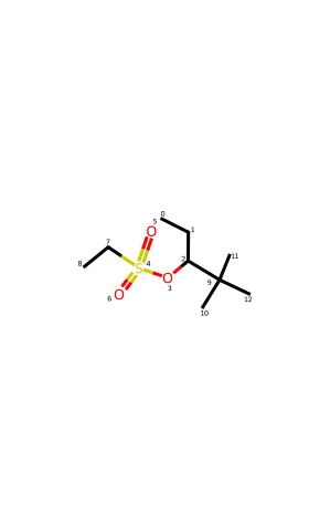 CCC(OS(=O)(=O)CC)C(C)(C)C